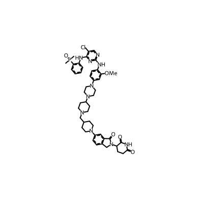 COc1cc(N2CCN(C3CCN(CC4CCN(c5ccc6c(c5)C(=O)N(C5CCC(=O)NC5=O)C6)CC4)CC3)CC2)ccc1Nc1ncc(Cl)c(Nc2ccccc2P(C)(C)=O)n1